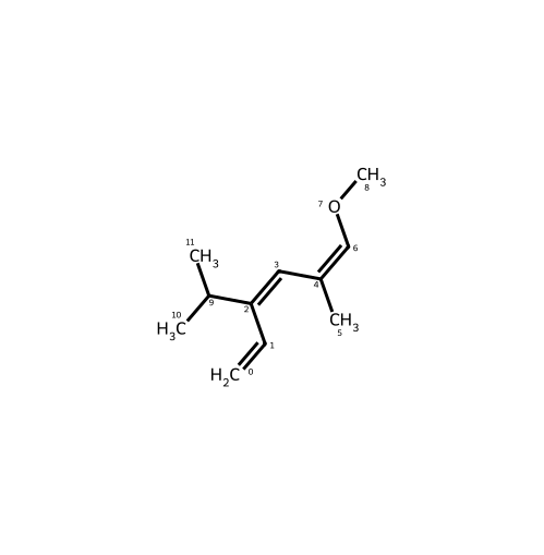 C=C/C(=C\C(C)=C/OC)C(C)C